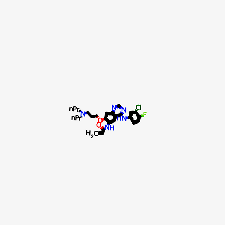 C=CC(=O)Nc1cc2c(Nc3ccc(F)c(Cl)c3)ncnc2cc1OCCCN(CCC)CCC